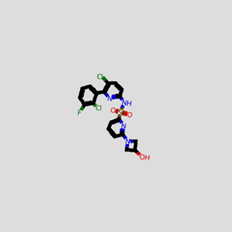 O=S(=O)(Nc1ccc(Cl)c(-c2cccc(F)c2Cl)n1)c1cccc(N2CC(O)C2)n1